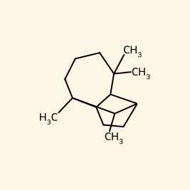 CC1C2CCC3C2C(C)(C)CCCC13C